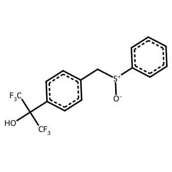 [O-][S+](Cc1ccc(C(O)(C(F)(F)F)C(F)(F)F)cc1)c1ccccc1